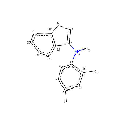 Cc1ccc(N(C)C2=CCc3ccccc32)c(C)c1